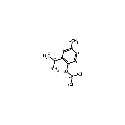 Cc1ccc(OP(Cl)Cl)c(C(C)C)c1